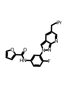 CC(C)Cc1cnc2nn(-c3cc(NC(=O)c4ccco4)ccc3F)cc2c1